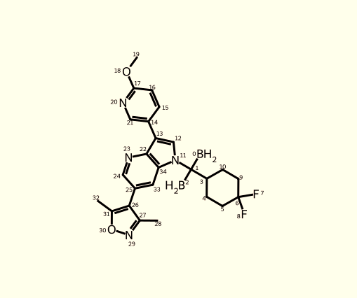 BC(B)(C1CCC(F)(F)CC1)n1cc(-c2ccc(OC)nc2)c2ncc(-c3c(C)noc3C)cc21